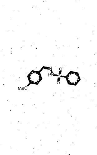 COc1ccc(/C=N\NS(=O)(=O)c2ccccc2)cc1